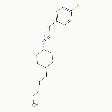 CCCCC[C@H]1CC[C@H](/C=C/[CH]c2ccc(F)cc2)CC1